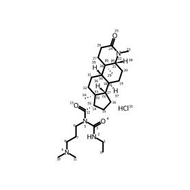 CCNC(=O)N(CCCN(C)C)C(=O)[C@H]1CC[C@H]2[C@@H]3CC[C@H]4N(C)C(=O)CC[C@]4(C)[C@H]3CC[C@]12C.Cl